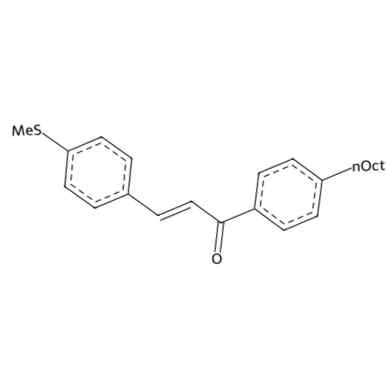 CCCCCCCCc1ccc(C(=O)C=Cc2ccc(SC)cc2)cc1